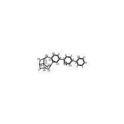 c1ccc(-c2ccc(-c3ccc4c(c3)C3CC5CC6CC4CC65C3)nc2)cc1